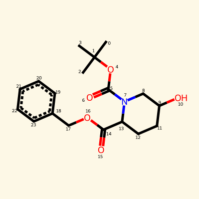 CC(C)(C)OC(=O)N1CC(O)CCC1C(=O)OCc1ccccc1